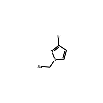 CC(C)(C)Cn1ccc(Br)n1